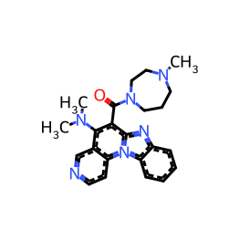 CN1CCCN(C(=O)c2c(N(C)C)c3cnccc3n3c2nc2ccccc23)CC1